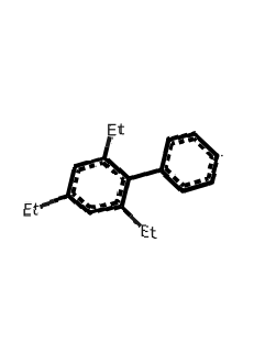 CCc1cc(CC)c(-c2cc[c]cc2)c(CC)c1